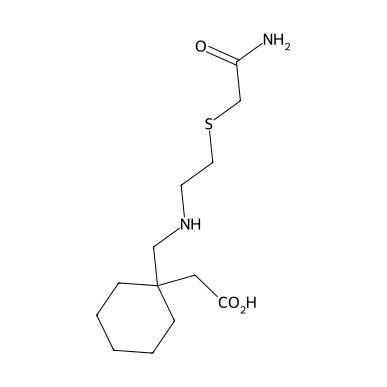 NC(=O)CSCCNCC1(CC(=O)O)CCCCC1